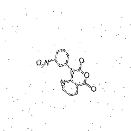 O=c1oc(=O)n(-c2cccc([N+](=O)[O-])c2)c2ncccc12